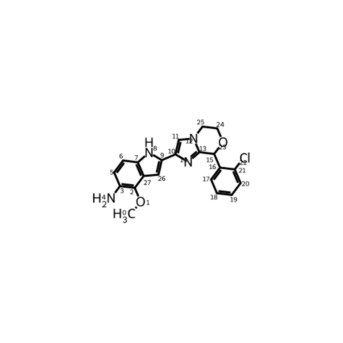 COc1c(N)ccc2[nH]c(-c3cn4c(n3)C(c3ccccc3Cl)OCC4)cc12